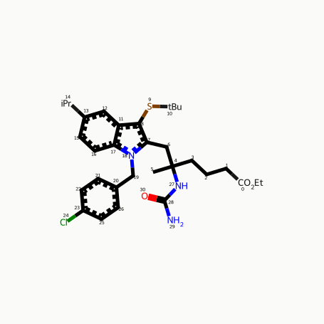 CCOC(=O)CCCC(C)(Cc1c(SC(C)(C)C)c2cc(C(C)C)ccc2n1Cc1ccc(Cl)cc1)NC(N)=O